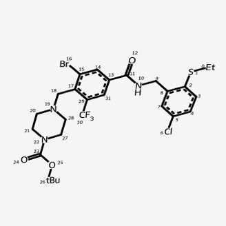 CCSc1ccc(Cl)cc1CNC(=O)c1cc(Br)c(CN2CCN(C(=O)OC(C)(C)C)CC2)c(C(F)(F)F)c1